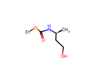 CCOC(=O)N[C@@H](C)CCO